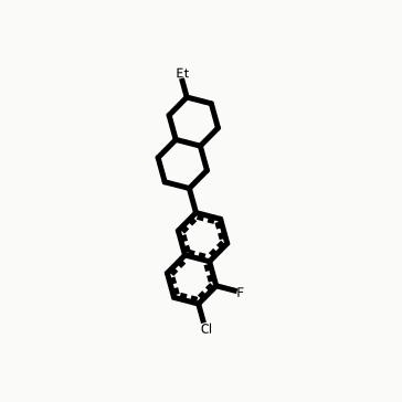 CCC1CCC2CC(c3ccc4c(F)c(Cl)ccc4c3)CCC2C1